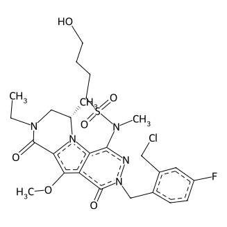 CCN1C[C@H](C)n2c(c(OC)c3c(=O)n(Cc4ccc(F)cc4CCl)nc(N(C)S(=O)(=O)CCCCO)c32)C1=O